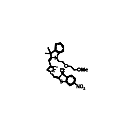 CCN1C(=C[C+]2[C+]=C(C=C3N(CCOCCOC)c4ccccc4C3(C)C)C2)Sc2cc([N+](=O)[O-])ccc21